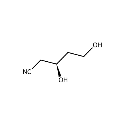 N#CC[C@H](O)CCO